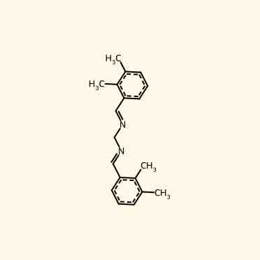 Cc1cccc(C=NCN=Cc2cccc(C)c2C)c1C